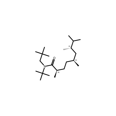 CC(C)[C@@H](C)C[C@@H](C)CC[C@@H](C)C(=O)N(CC(C)(C)C)C(C)(C)C